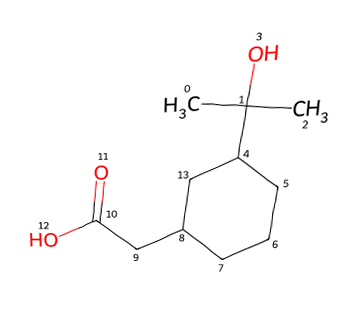 CC(C)(O)C1CCCC(CC(=O)O)C1